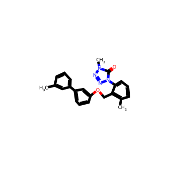 Cc1cccc(-c2cccc(OCc3c(C)cccc3-n3nnn(C)c3=O)c2)c1